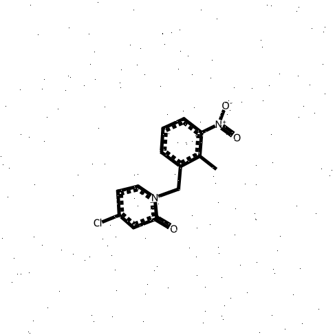 Cc1c(Cn2ccc(Cl)cc2=O)cccc1[N+](=O)[O-]